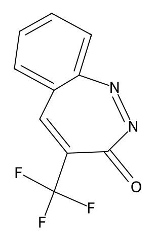 O=c1nnc2ccccc2cc1C(F)(F)F